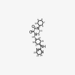 O=C1C(=O)N(c2ccccc2)CCN1Cc1ccc(Nc2ncccn2)cc1